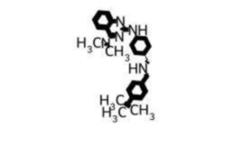 CN(C)c1nc(N[C@H]2CC[C@@H](CNCc3ccc(C(C)(C)C)cc3)CC2)nc2ccccc12